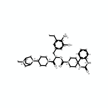 CCc1cc(C[C@@H](OC(=O)N2CCC3(CC2)OC(=O)Nc2ccccc23)C(=O)N2CCC(N3CC4CC3CN4C)CC2)cc(Cl)c1N